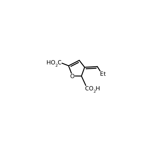 CCC=C1C=C(C(=O)O)OC1C(=O)O